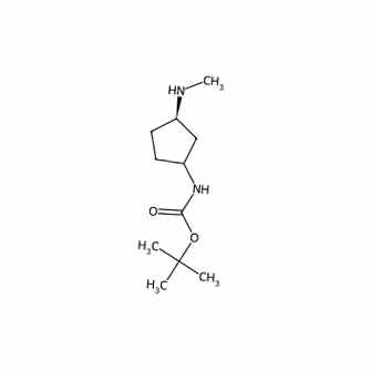 CN[C@@H]1CCC(NC(=O)OC(C)(C)C)C1